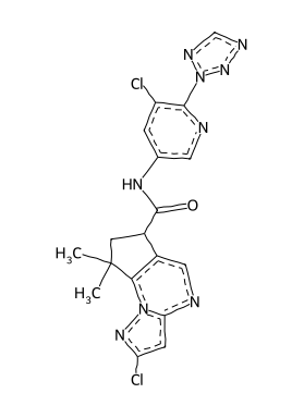 CC1(C)CC(C(=O)Nc2cnc(-n3ncnn3)c(Cl)c2)c2cnc3cc(Cl)nn3c21